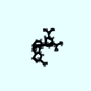 CCN(CC)c1nc(N(CC)CC)nc(N2CCC34C=C[C@H](O)CC3Oc3c(OC)ccc(c34)C2)n1